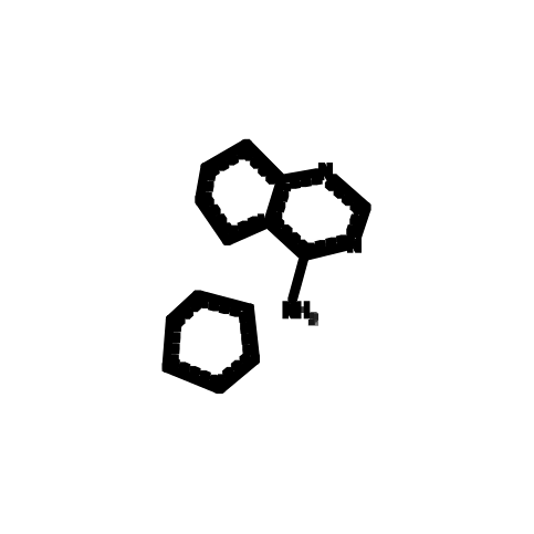 Nc1ncnc2ccccc12.c1ccccc1